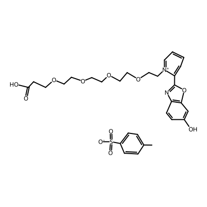 Cc1ccc(S(=O)(=O)[O-])cc1.O=C(O)CCOCCOCCOCCOCC[n+]1ccccc1-c1nc2ccc(O)cc2o1